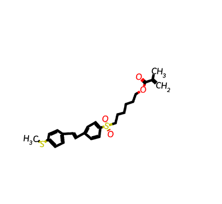 C=C(C)C(=O)OCCCCCCS(=O)(=O)c1ccc(C=Cc2ccc(SC)cc2)cc1